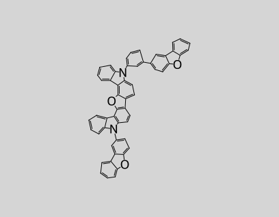 c1cc(-c2ccc3oc4ccccc4c3c2)cc(-n2c3ccccc3c3c4oc5c(ccc6c5c5ccccc5n6-c5ccc6oc7ccccc7c6c5)c4ccc32)c1